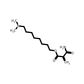 C=C(C(N)=O)C(=O)OCCCCCCCCN(C)C